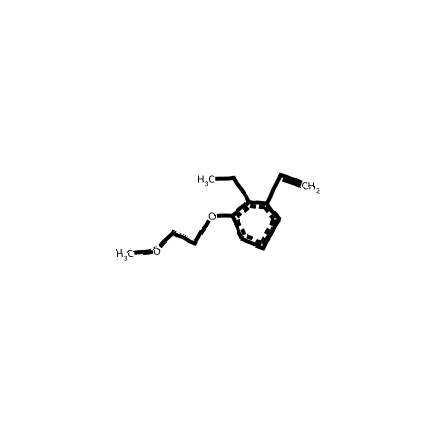 C=Cc1cccc(OCCOC)c1CC